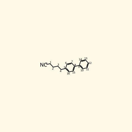 N#CCCCCc1ccc(-c2ccccc2)cc1